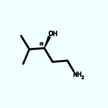 CC(C)[C@@H](O)CCN